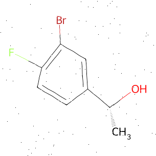 C[C@@H](O)c1ccc(F)c(Br)c1